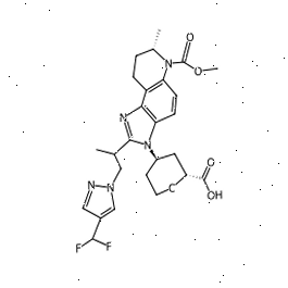 COC(=O)N1c2ccc3c(nc(C(C)Cn4cc(C(F)F)cn4)n3[C@@H]3CCC[C@@H](C(=O)O)C3)c2CC[C@@H]1C